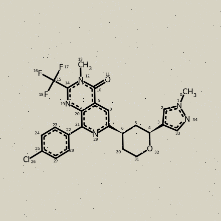 Cn1cc([C@@H]2C[C@H](c3cc4c(=O)n(C)c(C(F)(F)F)nc4c(-c4ccc(Cl)cc4)n3)CCO2)cn1